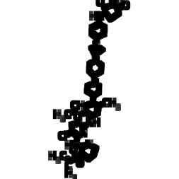 Cc1cc(Nc2ncc(Cl)c(Nc3ncccc3S(=O)(=O)C(C)C)n2)c(OC(C)C)cc1C1CCN(C2CCN(C3CN(c4ccc(NC5CCC(=O)NC5=O)cc4)C3)CC2)CC1